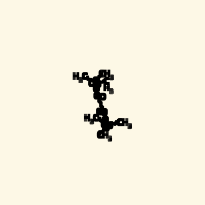 CCCCOC(COCCOC(=O)CCCCC(=O)OCCOCC(OCCCC)(OCCCC)OCCCC)(OCCCC)OCCCC